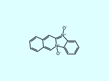 [O-][N+]1=C2C=c3ccccc3=C[N+]2([O-])c2ccccc21